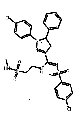 CNS(=O)(=O)CCNC(=NS(=O)(=O)c1ccc(Cl)cc1)C1=NN(c2ccc(Cl)cc2)C(c2ccccc2)C1